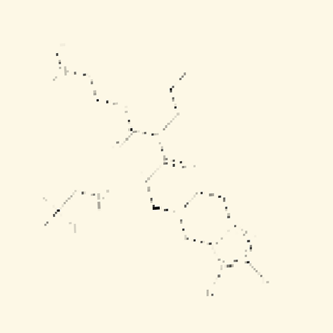 CCCN(C(=O)NCCN(C)C)C(=O)[C@@H](CNCC(F)(F)F)C[C@H]1CCc2sc(N)c(N)c2C1